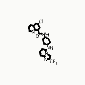 O=C(NC1CCC(Nc2cccc3nc(C(F)(F)F)cn23)CC1)c1cc(Cl)cc2cccnc12